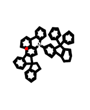 C1=CC2=C(CC1)c1ccc(N(c3ccc4c(c3)C3(CCc5ccccc53)c3ccccc3-4)c3ccccc3-c3ccccc3)cc1C2(c1ccccc1)c1ccccc1